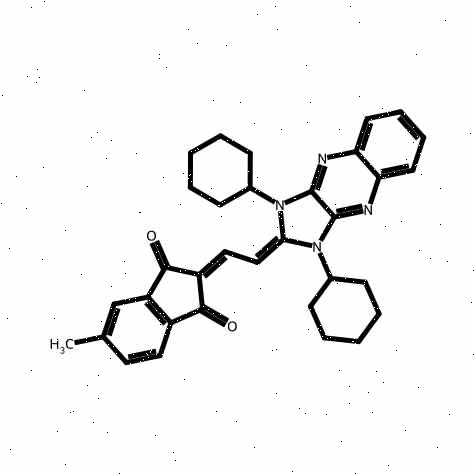 Cc1ccc2c(c1)C(=O)/C(=C/C=C1N(C3CCCCC3)c3nc4ccccc4nc3N1C1CCCCC1)C2=O